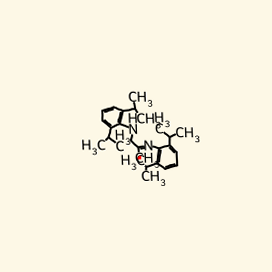 CC(CNc1c(C(C)C)cccc1C(C)C)=Nc1c(C(C)C)cccc1C(C)C